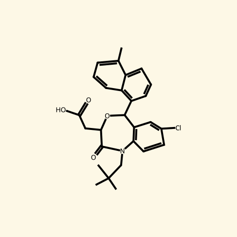 Cc1cccc2c(C3OC(CC(=O)O)C(=O)N(CC(C)(C)C)c4ccc(Cl)cc43)cccc12